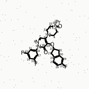 CC(C)[SH]1(=O)CCN(c2cnn(-c3cc(F)cc(F)c3)c(=O)c2OC2Cc3ccc(F)cc3C2)CC1